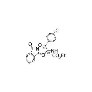 CCOC(=O)N[C@@H](C)[C@H](ON1C(=O)c2ccccc2C1=O)c1ccc(Cl)cc1